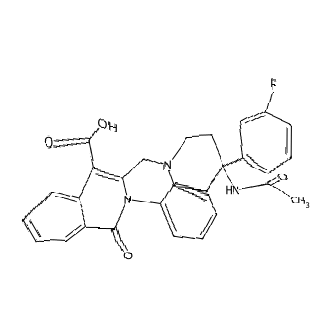 CC(=O)NC1(c2cccc(F)c2)CCN(Cc2c(C(=O)O)c3ccccc3c(=O)n2-c2ccccc2)CC1